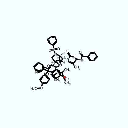 COc1ccc(C(OC[C@@]23CN(S(=O)(=O)c4ccccc4)[C@@H]([C@H](n4cc(C)c(NC(=O)c5ccccc5)nc4=O)O2)[C@@H]3OP(OCCC#N)N(C(C)C)C(C)C)(c2ccccc2)c2ccc(OC)cc2)cc1